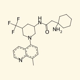 Cc1ccc(N2CC(NC(=O)CC3(N)CCCCC3)CC(C(F)(F)F)C2)c2cccnc12